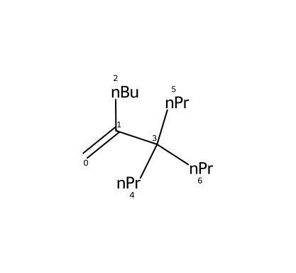 C=C(CCCC)C(CCC)(CCC)CCC